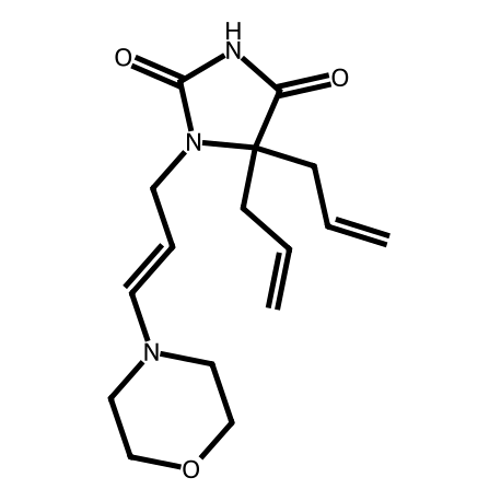 C=CCC1(CC=C)C(=O)NC(=O)N1CC=CN1CCOCC1